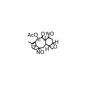 CC(=O)O[C@H]1C(=O)[C@@]2(C)C(C[C@]3(N=O)CCC(C)=C1C3(C)C)[C@@H]1CO[C@@H]1C[C@@H]2N=O